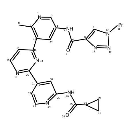 Cc1ncc(NC(=O)c2cn(C(C)C)nn2)cc1-c1ccnc(-c2ccnc(NC(=O)C3CC3)c2)n1